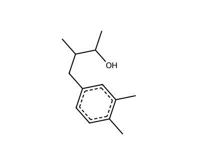 Cc1ccc(CC(C)C(C)O)cc1C